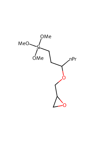 CCCC(CC[Si](OC)(OC)OC)OCC1CO1